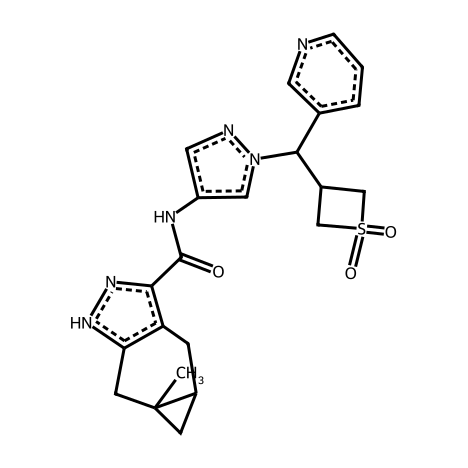 CC12Cc3[nH]nc(C(=O)Nc4cnn(C(c5cccnc5)C5CS(=O)(=O)C5)c4)c3CC1C2